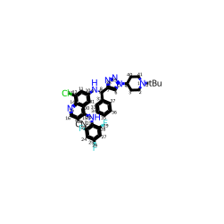 CC(C)(C)N1CCC(n2cc([C@@H](Nc3cc(Cl)c4ncc(C#N)c(Nc5c(F)cc(F)cc5F)c4c3)c3ccccc3)nn2)CC1